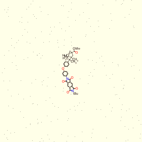 COC(=O)C1(CC(C)(C)C(C)(C)c2ccc(Oc3ccc(-n4c(=O)c5cc6c(=O)n(C(C)(C)C)c(=O)c6cc5c4=O)cc3)cc2)CC1C